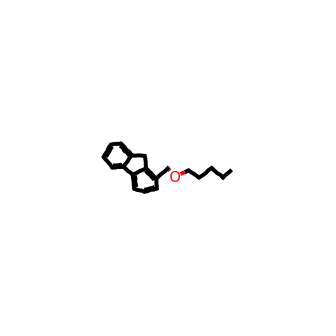 CCCCCOCc1cccc2c1Cc1ccccc1-2